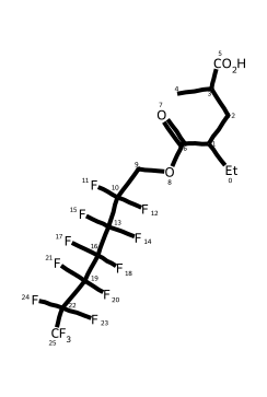 CCC(CC(C)C(=O)O)C(=O)OCC(F)(F)C(F)(F)C(F)(F)C(F)(F)C(F)(F)C(F)(F)F